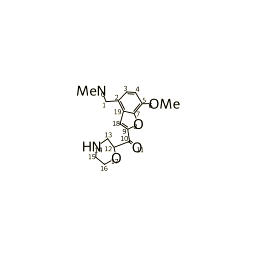 CNCc1ccc(OC)c2oc(C(=O)C3CNCCO3)cc12